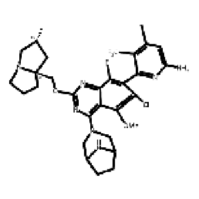 COc1c(Cl)c(-c2nc(N)cc(C)c2C(F)(F)F)c(F)c2nc(OC[C@@]34CCCN3C[C@H](F)C4)nc(N3CC4CCC(C3)N4)c12